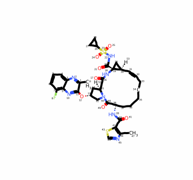 Cc1nc2cccc(F)c2nc1O[C@@H]1C[C@H]2C(=O)N[C@]3(C(=O)NS(=O)(=O)C4CC4)C[C@H]3C=CCCCCC[C@H](NC(=O)c3scnc3C)C(=O)N2C1